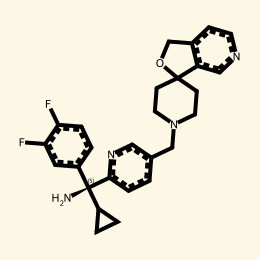 N[C@@](c1ccc(F)c(F)c1)(c1ccc(CN2CCC3(CC2)OCc2ccncc23)cn1)C1CC1